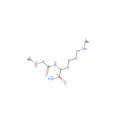 CC(C)(C)NCCCCC(NC(=O)CNC(C)(C)C)C(N)=O